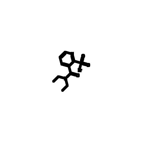 CCN(CC)C(=O)c1cccnc1S(=O)(=O)Br